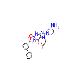 CC#CCn1c(N2CCC[C@@H](N)C2)nc2c1c(=O)n(CC(=O)c1cccc(-c3ccccc3)c1)c(=O)n2C